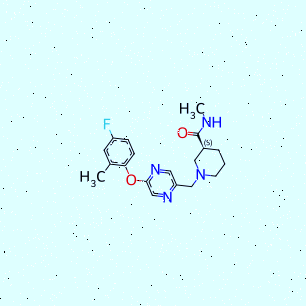 CNC(=O)[C@H]1CCCN(Cc2cnc(Oc3ccc(F)cc3C)cn2)C1